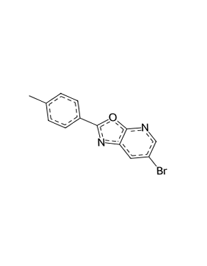 Cc1ccc(-c2nc3cc(Br)cnc3o2)cc1